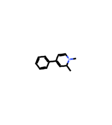 CC1C=C(c2ccccc2)C=CN1C